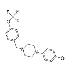 [O]c1ccc(N2CCN(Cc3ccc(OC(F)(F)F)cc3)CC2)cc1